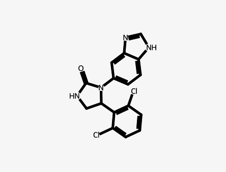 O=C1NCC(c2c(Cl)cccc2Cl)N1c1ccc2[nH]cnc2c1